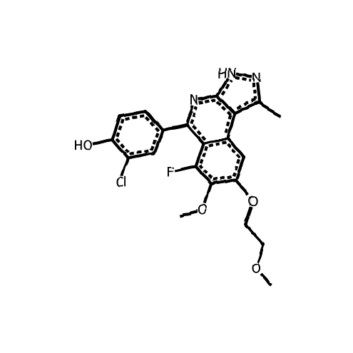 COCCOc1cc2c(c(-c3ccc(O)c(Cl)c3)nc3[nH]nc(C)c32)c(F)c1OC